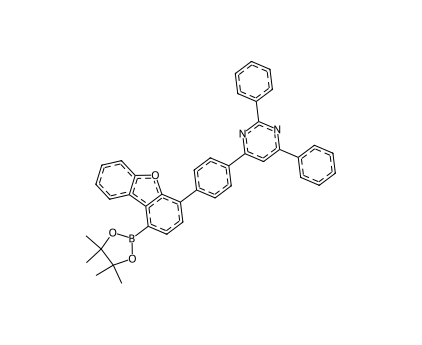 CC1(C)OB(c2ccc(-c3ccc(-c4cc(-c5ccccc5)nc(-c5ccccc5)n4)cc3)c3oc4ccccc4c23)OC1(C)C